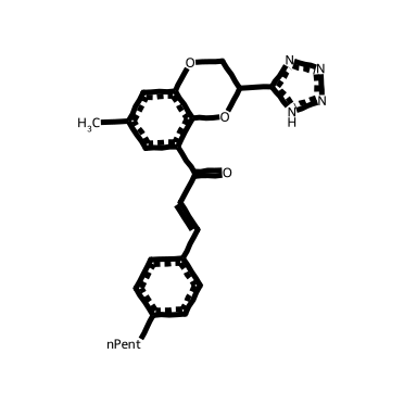 CCCCCc1ccc(C=CC(=O)c2cc(C)cc3c2OC(c2nnn[nH]2)CO3)cc1